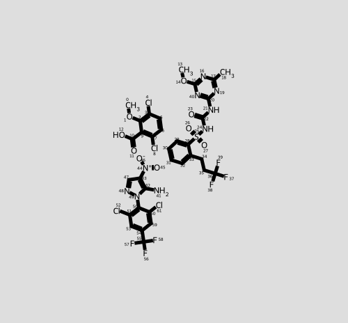 COc1c(Cl)ccc(Cl)c1C(=O)O.COc1nc(C)nc(NC(=O)NS(=O)(=O)c2ccccc2CCC(F)(F)F)n1.Nc1c([N+](=O)[O-])cnn1-c1c(Cl)cc(C(F)(F)F)cc1Cl